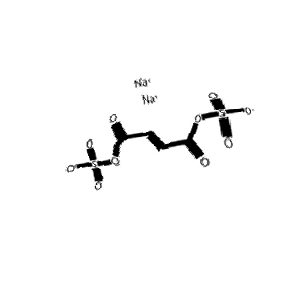 O=C(/C=C/C(=O)OS(=O)(=O)[O-])OS(=O)(=O)[O-].[Na+].[Na+]